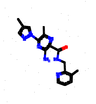 Cc1cnn(-c2nc(N)c(C(=O)NCc3ncccc3C)nc2C)c1